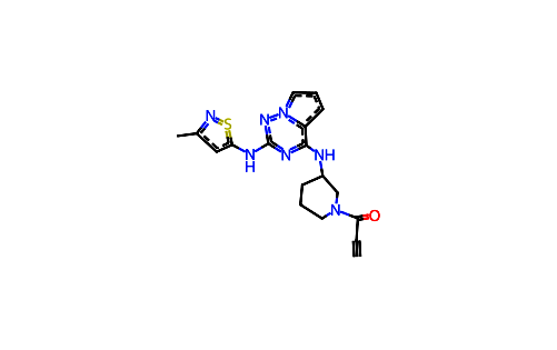 C#CC(=O)N1CCCC(Nc2nc(Nc3cc(C)ns3)nn3cccc23)C1